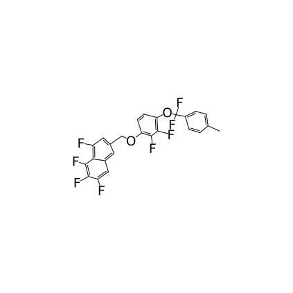 Cc1ccc(C(F)(F)Oc2ccc(OCc3cc(F)c4c(F)c(F)c(F)cc4c3)c(F)c2F)cc1